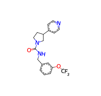 O=C(NCc1cccc(OC(F)(F)F)c1)N1CCC(c2ccncc2)C1